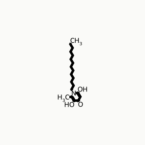 CCCCCCCCCCCCCCn1c(O)cc(=O)c(O)c1C